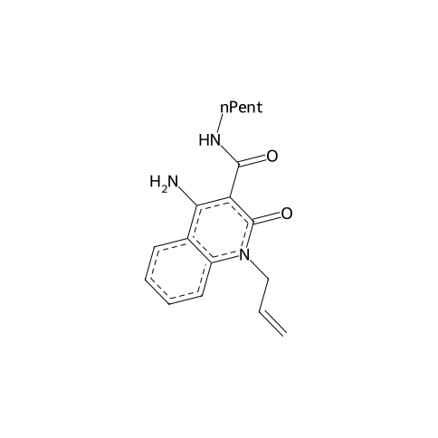 C=CCn1c(=O)c(C(=O)NCCCCC)c(N)c2ccccc21